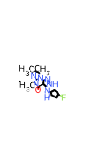 CN1C(=O)c2c(n[nH]c2Nc2ccc(F)cc2)N2CC(C)(C)N=C12